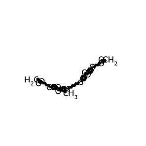 C=CC(=O)OCCCCOc1ccc(OC(=O)c2ccc(SCCCCCCCSc3ccc(C(=O)Oc4ccc(OCCCCOC(=O)C=C)cc4)cc3C)cc2)cc1